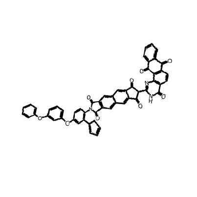 O=C1c2ccccc2C(=O)c2c1ccc1c(=O)[nH]c(C3C(=O)c4cc5cc6c(cc5cc4C3=O)C(=O)N(c3ccc(Oc4cccc(Oc5ccccc5)c4)cc3C3=CC=CC3)C6=O)nc21